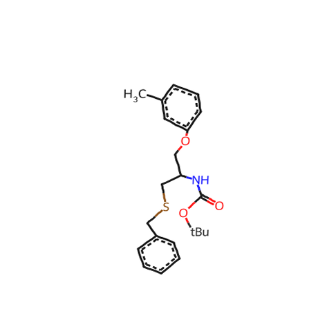 Cc1cccc(OCC(CSCc2ccccc2)NC(=O)OC(C)(C)C)c1